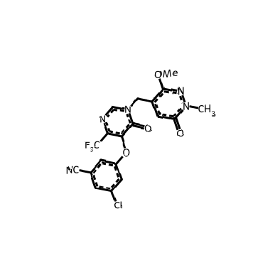 COc1nn(C)c(=O)cc1Cn1cnc(C(F)(F)F)c(Oc2cc(Cl)cc(C#N)c2)c1=O